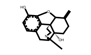 C=C1CC[C@@]2(O)C3Cc4ccc(O)c5c4[C@@]2(CCN3C)C1O5